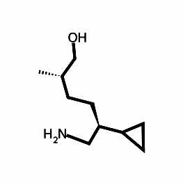 C[C@H](CO)CC[C@H](CN)C1CC1